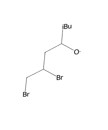 CCC(C)C([O])CC(Br)CBr